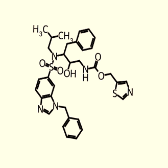 CC(C)CN(C(Cc1ccccc1)C(O)CNC(=O)OCc1cncs1)S(=O)(=O)c1ccc2ncn(Cc3ccccc3)c2c1